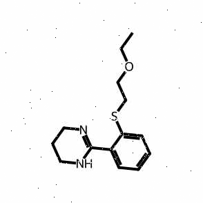 CCOCCSc1ccccc1C1=NCCCN1